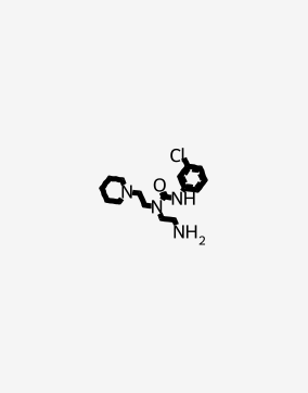 NCCN(CCN1CCCCC1)C(=O)Nc1cccc(Cl)c1